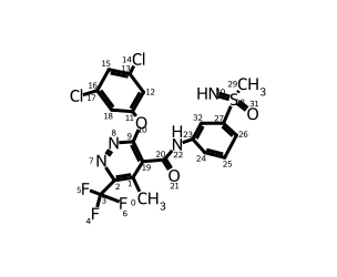 Cc1c(C(F)(F)F)nnc(Oc2cc(Cl)cc(Cl)c2)c1C(=O)Nc1cccc(S(C)(=N)=O)c1